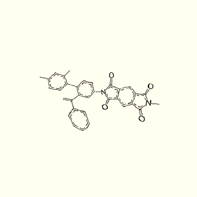 C=C(c1ccccc1)c1cc(-n2c(=O)c3cc4c(=O)n(C)c(=O)c4cc3c2=O)ccc1-c1ccc(C)cc1C